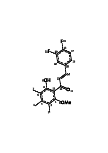 COc1c(C)c(C)c(C)c(O)c1C(=O)/C=C/c1ccc(F)c(F)c1